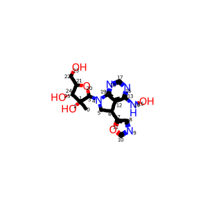 CC1(O)C(N2CC(c3cnco3)c3c(NO)ncnc32)OC(CO)[C@H]1O